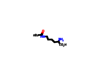 CCCCC(=O)NCCCCC(N)C(=O)O